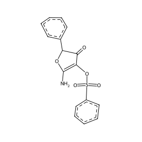 NC1=C(OS(=O)(=O)c2ccccc2)C(=O)C(c2ccccc2)O1